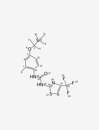 Cc1cc(OC(C)(C)[Si](C)(C)C)ccc1NC(=O)Nc1nc(C(F)(F)F)cs1